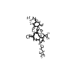 C[Si](C)(C)CCOCn1cc(C2(C(F)(F)F)CC2)c2c(Oc3c(F)cc(N)cc3F)cc(Cl)nc21